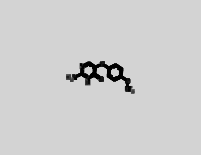 Nc1ncc(Oc2ccc(OC(F)(F)F)cc2)c(=O)[nH]1